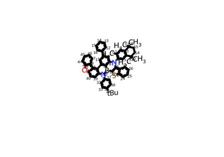 Cc1cc2c(cc1N1c3cc(-c4ccccc4)cc4c3B(c3sc5ccccc5c31)N(c1ccc(C(C)(C)C)cc1)c1ccc3oc5ccccc5c3c1-4)C(C)(C)CCC2(C)C